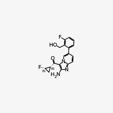 Nc1nc2ccc(-c3cccc(F)c3CO)cn2c1C(=O)[C@@H]1C[C@@H]1F